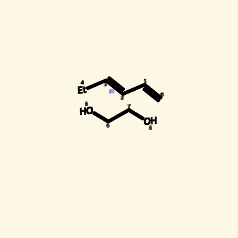 C=C/C=C/CC.OCCO